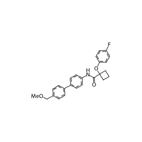 COCc1ccc(-c2ccc(NC(=O)C3(Oc4ccc(F)cc4)CCC3)cc2)cc1